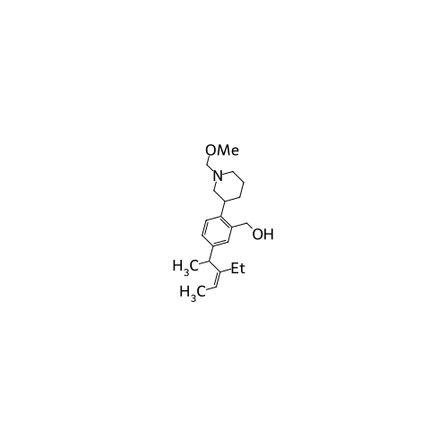 C/C=C(/CC)C(C)c1ccc(C2CCCN(COC)C2)c(CO)c1